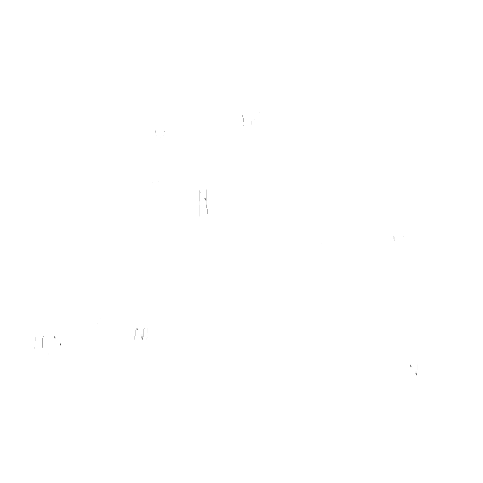 Cl.N=C(N)c1cccc(C(=O)NCc2ccc(Oc3ccncc3)cc2)c1